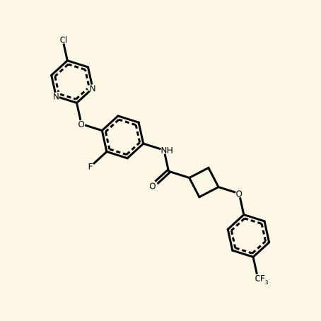 O=C(Nc1ccc(Oc2ncc(Cl)cn2)c(F)c1)C1CC(Oc2ccc(C(F)(F)F)cc2)C1